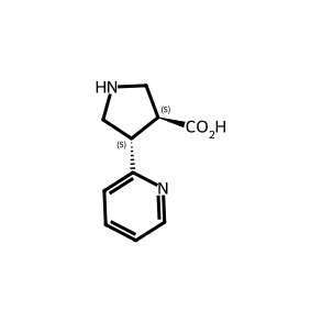 O=C(O)[C@@H]1CNC[C@H]1c1ccccn1